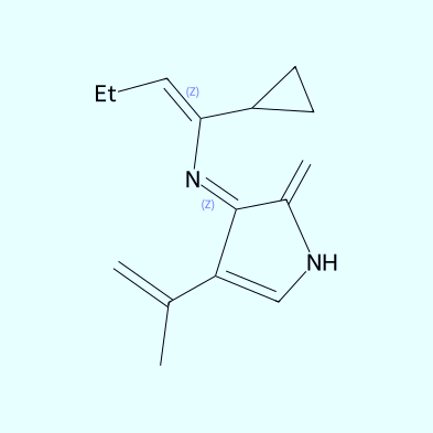 C=C(C)C1=CNC(=C)/C1=N\C(=C/CC)C1CC1